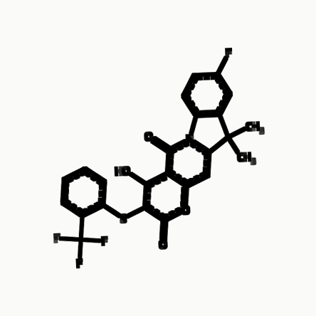 CC1(C)c2cc(F)ccc2-n2c1cc1oc(=O)c(Sc3ccccc3C(F)(F)F)c(O)c1c2=O